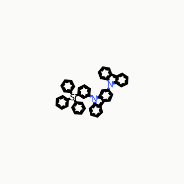 c1ccc([Si](c2ccccc2)(c2ccccc2)c2cccc(-n3c4ccccc4c4ccc(-n5c6ccccc6c6ccccc65)cc43)c2)cc1